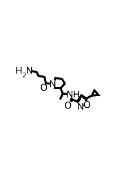 CC(NC(=O)c1cc(C2CC2)on1)C1CCCN(C(=O)CCCN)C1